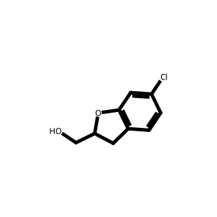 OCC1Cc2ccc(Cl)cc2O1